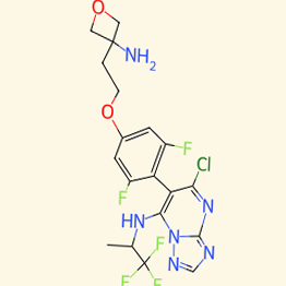 CC(Nc1c(-c2c(F)cc(OCCC3(N)COC3)cc2F)c(Cl)nc2ncnn12)C(F)(F)F